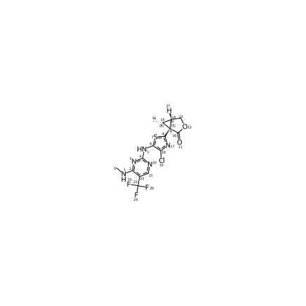 CNc1nc(Nc2sc([C@]34C(=O)OC[C@H]3[C@H]4C)nc2Cl)ncc1C(F)(F)F